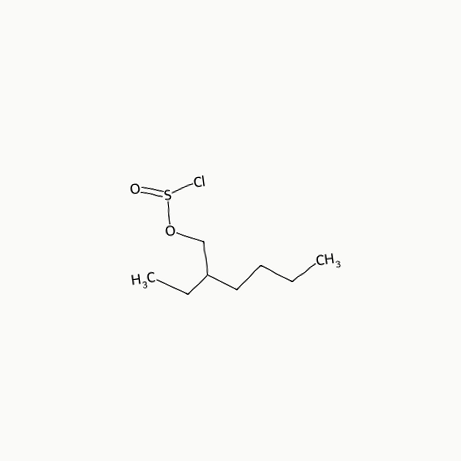 CCCCC(CC)COS(=O)Cl